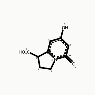 O=C(O)C1CCn2c1cc(O)cc2=O